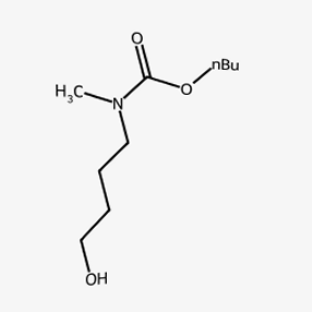 CCCCOC(=O)N(C)CCCCO